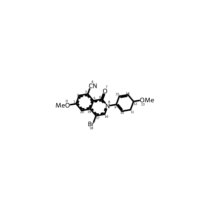 COc1cc(C#N)c2c(=O)n(C3=CCC(OC)C=C3)cc(Br)c2c1